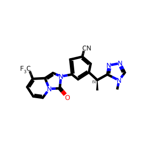 C[C@@H](c1cc(C#N)cc(-n2cc3c(C(F)(F)F)cccn3c2=O)c1)c1nncn1C